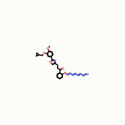 COc1ccc(-c2nc(CCC(=O)c3ccccc3ON=NN=NN=NN=N)co2)cc1OCC1CC1